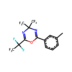 Cc1cccc(C2=NC(C(F)(F)F)(C(F)(F)F)N=C(C(F)(F)C(F)(F)F)O2)c1